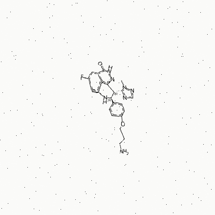 Cn1ncnc1[C@H]1c2n[nH]c(=O)c3cc(F)cc(c23)N[C@@H]1c1ccc(OCCCN)cc1